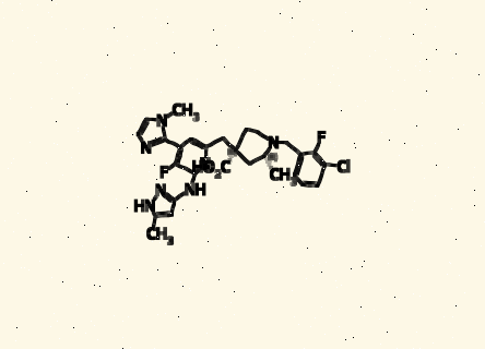 Cc1cc(Nc2nc(C[C@@]3(C(=O)O)CCN(Cc4cccc(Cl)c4F)[C@H](C)C3)cc(-c3nccn3C)c2F)n[nH]1